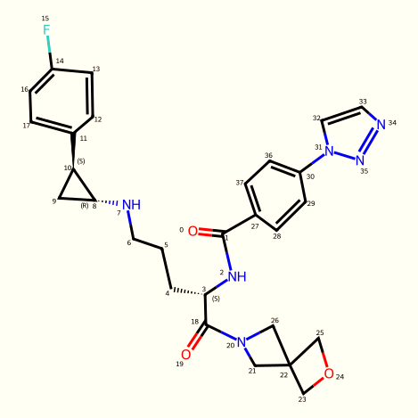 O=C(N[C@@H](CCCN[C@@H]1C[C@H]1c1ccc(F)cc1)C(=O)N1CC2(COC2)C1)c1ccc(-n2ccnn2)cc1